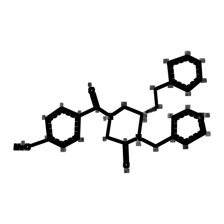 COc1ccc(C(=O)N2CC(=O)N(Cc3ccncc3)[C@@H](CCc3ccccc3)C2)cc1